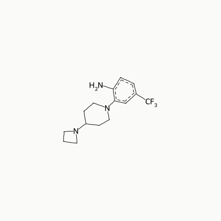 Nc1ccc(C(F)(F)F)cc1N1CCC(N2CCC2)CC1